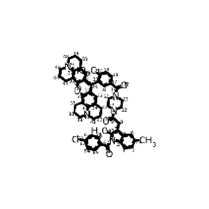 Cc1ccc2c(c1)c(CC(=O)N1CCN(C(=O)c3ccc(C(=O)O)c(C4=c5cc6c7c(c5Oc5c4cc4c8c5CCCN8CCC4)CCC[N+]=7CCC6)c3)CC1)c(C)n2C(=O)c1ccc(Cl)cc1